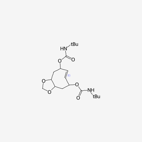 CC(C)(C)NC(=O)OC1/C=C/C(OC(=O)NC(C)(C)C)CC2OCOC2C1